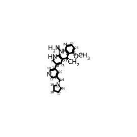 C=C(C1=C(NN)NCC(c2cncc(CN3CCCC3)c2)=C1)c1ccccc1OC